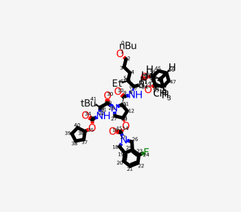 CCCCOCCC[C@H](CC)[C@H](NC(=O)[C@@H]1C[C@@H](OC(=O)N2Cc3cccc(F)c3C2)CN1C(=O)[C@@H](NC(=O)OC1CCCC1)C(C)(C)C)B1O[C@@H]2C[C@@H]3C[C@@H](C3(C)C)[C@]2(C)O1